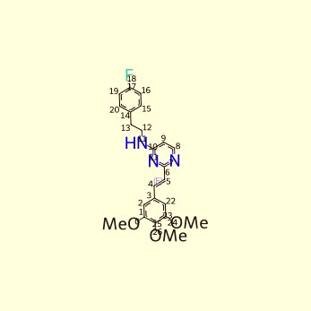 COc1cc(/C=C/c2nccc(NCCc3ccc(F)cc3)n2)cc(OC)c1OC